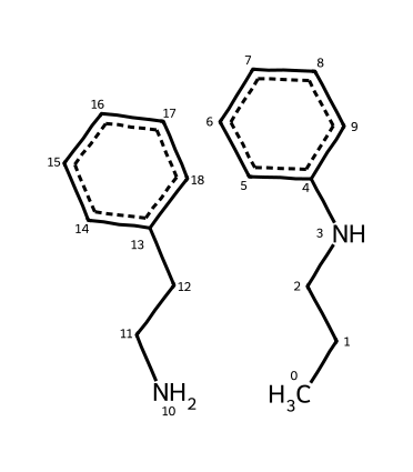 CCCNc1ccccc1.NCCc1ccccc1